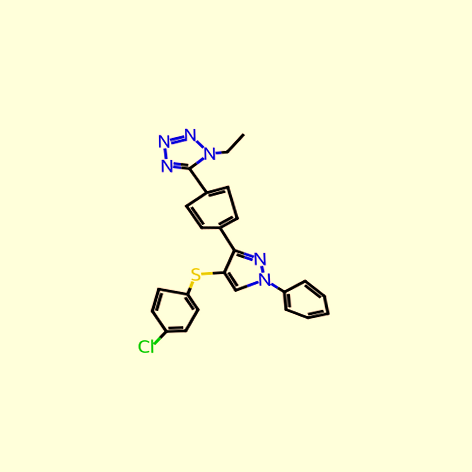 CCn1nnnc1-c1ccc(-c2nn(-c3ccccc3)cc2Sc2ccc(Cl)cc2)cc1